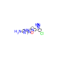 Cc1nc([C@@H]2CCc3cc(-c4cc(Cl)ccc4-n4cnnn4)cc(=O)n32)[nH]c1-c1ccc(N)cn1